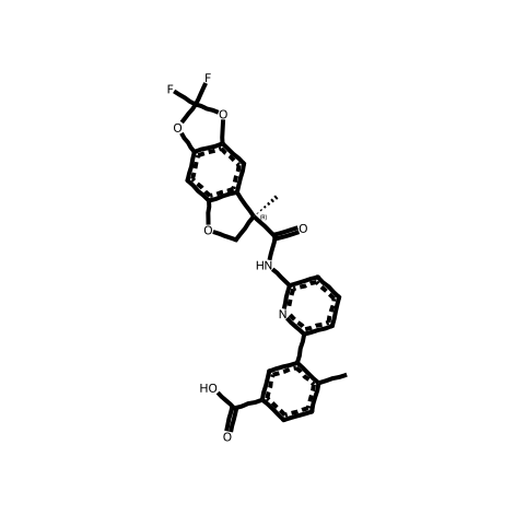 Cc1ccc(C(=O)O)cc1-c1cccc(NC(=O)[C@@]2(C)COc3cc4c(cc32)OC(F)(F)O4)n1